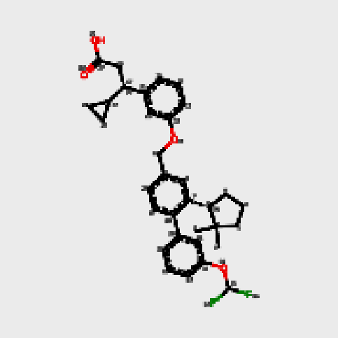 CC1(C)CCC[C@H]1c1cc(COc2cccc([C@H](CC(=O)O)C3CC3)c2)ccc1-c1cccc(OC(F)F)c1